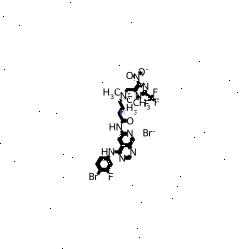 Cn1c(C(F)(F)F)nc([N+](=O)[O-])c1C[N+](C)(C)C/C=C/C(=O)Nc1cc2c(Nc3ccc(Br)c(F)c3)ncnc2cn1.[Br-]